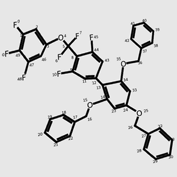 Fc1cc(OC(F)(F)c2c(F)cc(-c3c(OCc4ccccc4)cc(OCc4ccccc4)cc3OCc3ccccc3)cc2F)cc(F)c1F